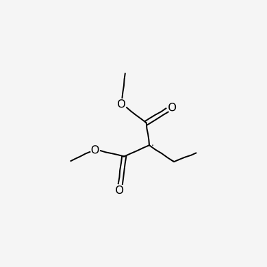 CC[C](C(=O)OC)C(=O)OC